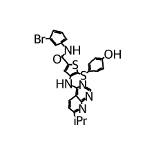 CC(C)c1ccc2c(Nc3cc(C(=O)Nc4cccc(Br)c4)sc3Sc3ccc(O)cc3)ncnc2n1